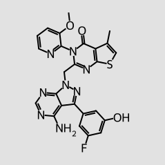 COc1cccnc1-n1c(Cn2nc(-c3cc(O)cc(F)c3)c3c(N)ncnc32)nc2scc(C)c2c1=O